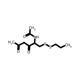 CCCSSCC(NC(C)=O)C(=O)CC(C)=O